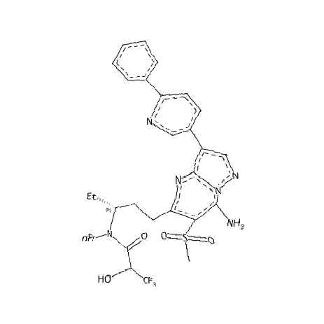 CCCN(C(=O)C(O)C(F)(F)F)[C@H](CC)CCc1nc2c(-c3ccc(-c4ccccc4)nc3)cnn2c(N)c1S(C)(=O)=O